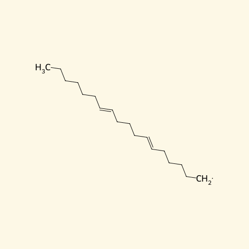 [CH2]CCCCC=CCCCC=CCCCCCC